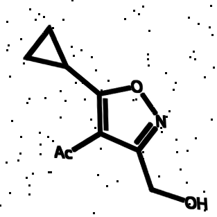 CC(=O)c1c(CO)noc1C1CC1